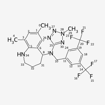 Cc1cc(C)c2c(c1)C(N(Cc1cc(C(F)(F)F)cc(C(F)(F)F)c1)c1nnn(C)n1)CCCN2